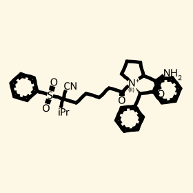 CC(C)C(C#N)(CCCCC(=O)[N@@+]1(C(c2ccccc2)c2ccccc2)CCCC1C(N)=O)S(=O)(=O)c1ccccc1